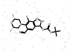 C[C@@H]1CN(c2c(C=O)cc3c(c2F)ONC3OC(=O)OC(C)(C)C)C[C@H](C)O1